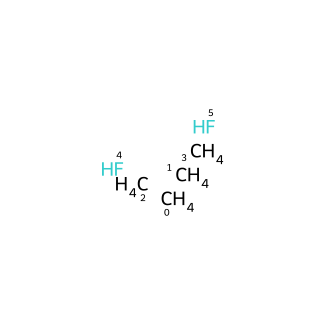 C.C.C.C.F.F